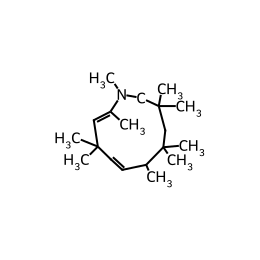 C/C1=C\C(C)(C)C=CC(C)C(C)(C)CC(C)(C)CN1C